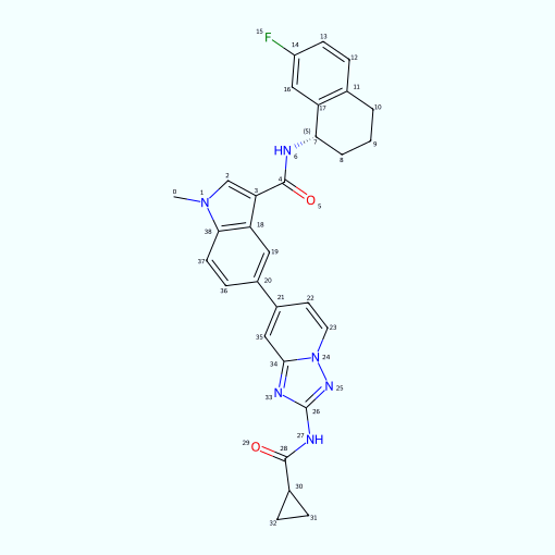 Cn1cc(C(=O)N[C@H]2CCCc3ccc(F)cc32)c2cc(-c3ccn4nc(NC(=O)C5CC5)nc4c3)ccc21